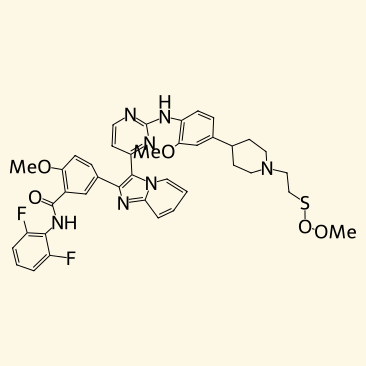 COOSCCN1CCC(c2ccc(Nc3nccc(-c4c(-c5ccc(OC)c(C(=O)Nc6c(F)cccc6F)c5)nc5ccccn45)n3)c(OC)c2)CC1